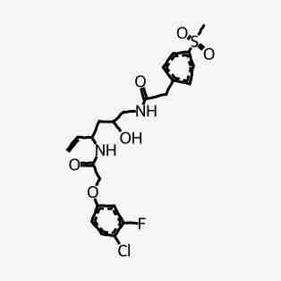 C=CC(CC(O)CNC(=O)Cc1ccc(S(C)(=O)=O)cc1)NC(=O)COc1ccc(Cl)c(F)c1